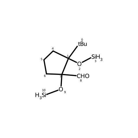 CC(C)(C)C1(O[SiH3])CCCC1(C=O)O[SiH3]